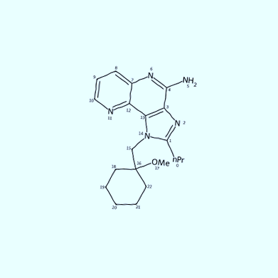 CCCc1nc2c(N)nc3cccnc3c2n1CC1(OC)CCCCC1